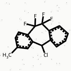 Cc1ccc2c(c1)C(Cl)c1ccccc1C(F)(F)C2(F)F